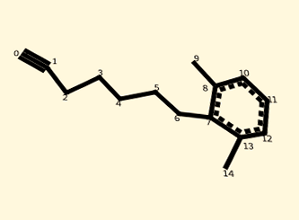 [C]#CCCCCCc1c(C)cccc1C